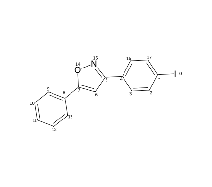 Ic1ccc(-c2cc(-c3ccccc3)on2)cc1